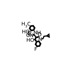 Cc1ccc2c(c1)P(=O)(O)N=C(c1c(O)c3cc(F)ccc3n(CCC3CC3)c1=O)N2